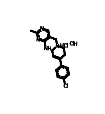 Cc1ncc(CN2CC=C(c3ccc(Cl)cc3)CC2)c(N)n1.Cl.Cl